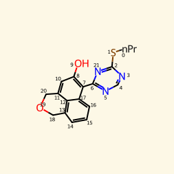 CCCSc1ncnc(-c2c(O)cc3c4c(cccc24)COC3)n1